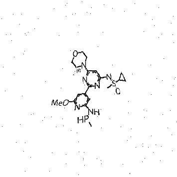 COc1cc(-c2nc(N=S(C)(=O)C3CC3)cc(N3CCOC[C@H]3C)n2)cc(NPC)n1